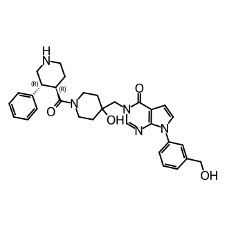 O=C([C@@H]1CCNC[C@H]1c1ccccc1)N1CCC(O)(Cn2cnc3c(ccn3-c3cccc(CO)c3)c2=O)CC1